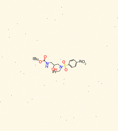 CC(C)CN(C[C@@H](O)CNC(=O)OC(C)(C)C)S(=O)(=O)c1ccc([N+](=O)[O-])cc1